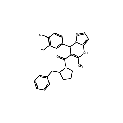 CC1=C(C(=O)N2CCCC2Cc2ccccc2)C(c2ccc(Cl)c(Cl)c2)n2nccc2N1